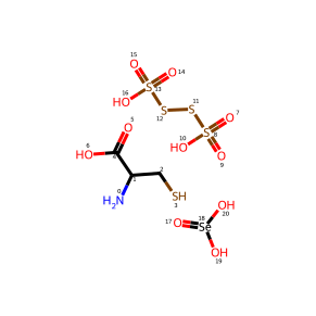 NC(CS)C(=O)O.O=S(=O)(O)SSS(=O)(=O)O.O=[Se](O)O